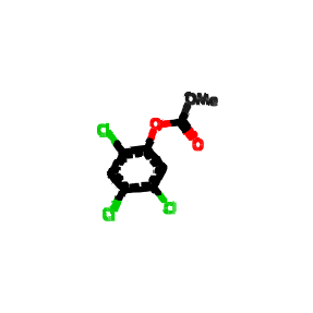 COC(=O)Oc1cc(Cl)c(Cl)cc1Cl